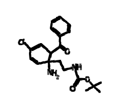 CC(C)(C)OC(=O)NCCC1(N)C=CC(Cl)=CC1C(=O)c1ccccc1